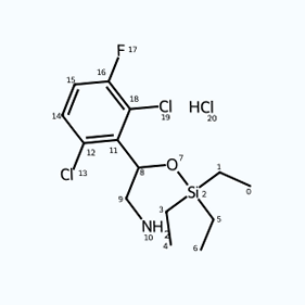 CC[Si](CC)(CC)OC(CN)c1c(Cl)ccc(F)c1Cl.Cl